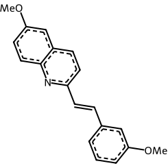 COc1cccc(/C=C/c2ccc3cc(OC)ccc3n2)c1